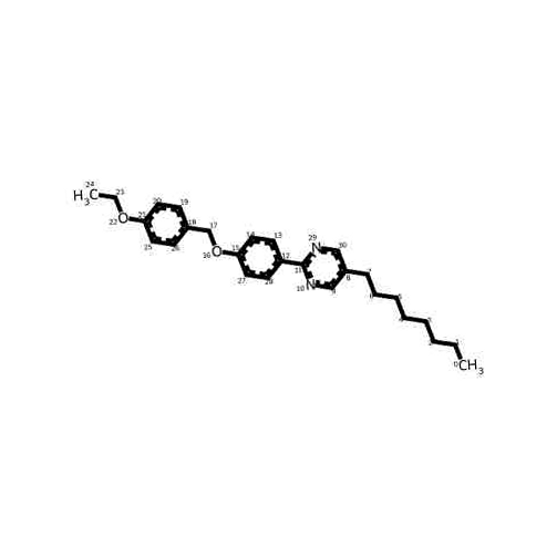 CCCCCCCCc1cnc(-c2ccc(OCc3ccc(OCC)cc3)cc2)nc1